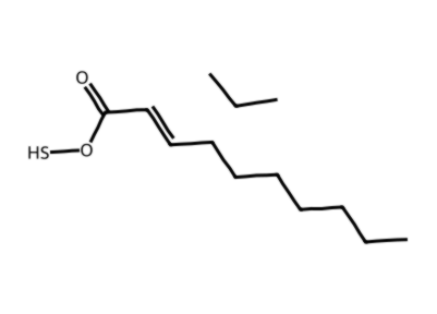 CCC.CCCCCCCC=CC(=O)OS